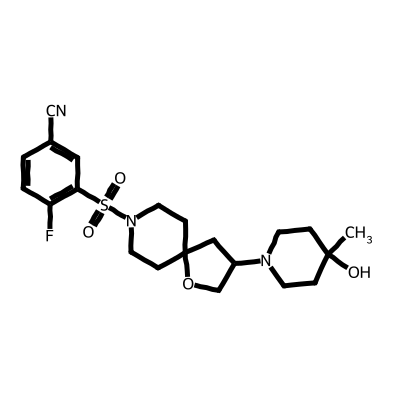 CC1(O)CCN(C2COC3(CCN(S(=O)(=O)c4cc(C#N)ccc4F)CC3)C2)CC1